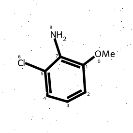 COc1cccc(Cl)c1N